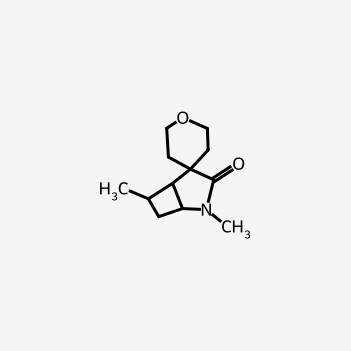 CC1CC2C1C1(CCOCC1)C(=O)N2C